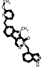 COc1cccc(Cc2ccc3c4cnn(Cc5cccc6[nH]ncc56)c(=O)c4n(C)c3c2)n1